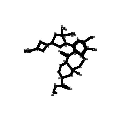 COC1CN([C@@H]2CN(c3nc(Cl)c(Cl)c4c3C(=O)N3CCN(C(=O)OC(C)(C)C)C[C@@H]3CO4)C(C)(C)C2)C1